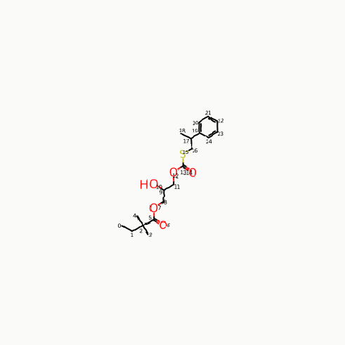 CCC(C)(C)C(=O)OCC(O)COC(=O)SCC(C)c1ccccc1